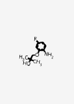 CC(C)(O)COc1cc(F)ccc1N